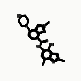 Cc1cc(NC(=O)c2ccc(N3CCNCC3)c3cn(C)nc23)c(O)c2cn(C)nc12